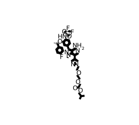 CC(C)COC(=O)COCCOCCn1cc(-c2cnc(N)c3c(-c4ccc(NS(=O)(=O)C(F)F)c(O[C@@H](C)c5ccc(F)cc5)c4)nn(C)c23)cn1